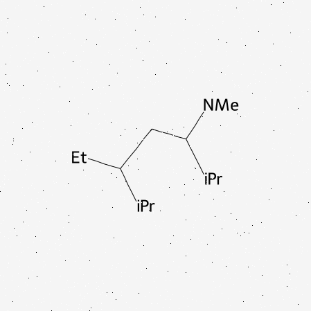 CCC(CC(NC)C(C)C)C(C)C